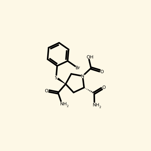 NC(=O)[C@@H]1C[C@](Sc2ccccc2Br)(C(N)=O)CN1C(=O)O